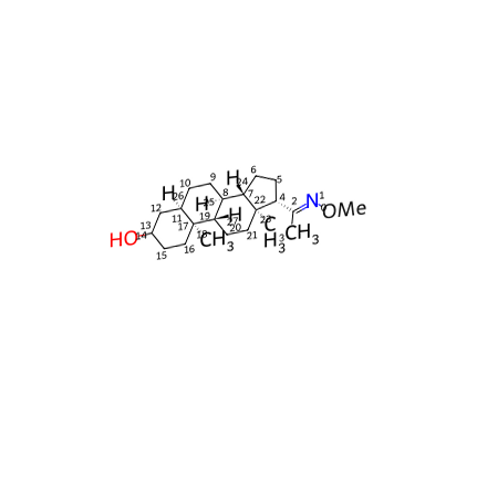 CO/N=C(\C)[C@H]1CC[C@H]2[C@@H]3CC[C@@H]4CC(O)CC[C@]4(C)[C@H]3CC[C@]12C